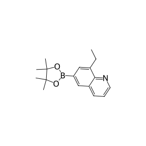 CCc1cc(B2OC(C)(C)C(C)(C)O2)cc2cccnc12